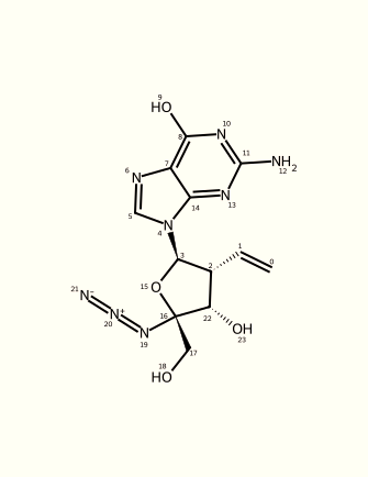 C=C[C@H]1[C@H](n2cnc3c(O)nc(N)nc32)O[C@@](CO)(N=[N+]=[N-])[C@H]1O